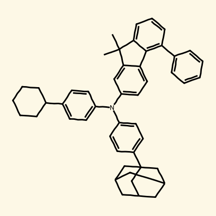 CC1(C)c2cc(N(c3ccc(C4CCCCC4)cc3)c3ccc(C45CC6CC(CC(C6)C4)C5)cc3)ccc2-c2c(-c3ccccc3)cccc21